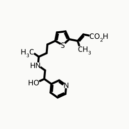 C/C(=C\C(=O)O)c1ccc(CCC(C)NCC(O)c2cccnc2)s1